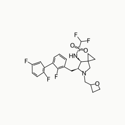 O=S(=O)(N[C@@H]1[C@H](Cc2cccc(-c3cc(F)ccc3F)c2F)N(CC2CCO2)CC12CC2)C(F)F